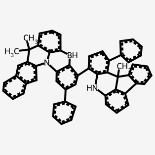 CC1(C)c2cc3ccccc3cc2N2c3cc(-c4ccccc4)cc(-c4ccc(-c5ccccc5)c5c4Nc4cccc6c4C5(C)c4ccccc4-6)c3Bc3cccc1c32